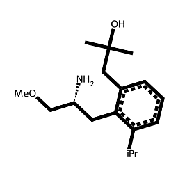 COC[C@H](N)Cc1c(CC(C)(C)O)cccc1C(C)C